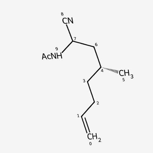 C=CCC[C@@H](C)CC(C#N)NC(C)=O